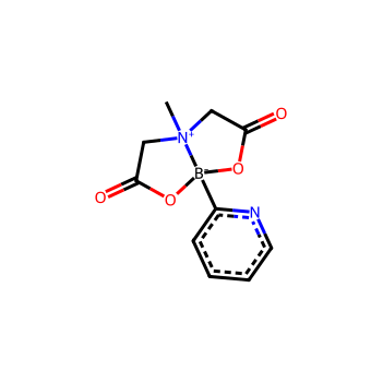 C[N+]12CC(=O)O[B-]1(c1ccccn1)OC(=O)C2